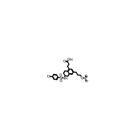 O=C(O)CCc1cc(CCCO[N+](=O)[O-])cc2c1CCC(NS(=O)(=O)c1ccc(Cl)cc1)C2